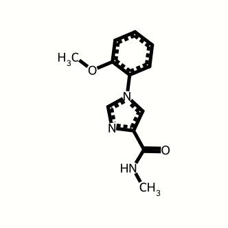 CNC(=O)c1cn(-c2ccccc2OC)cn1